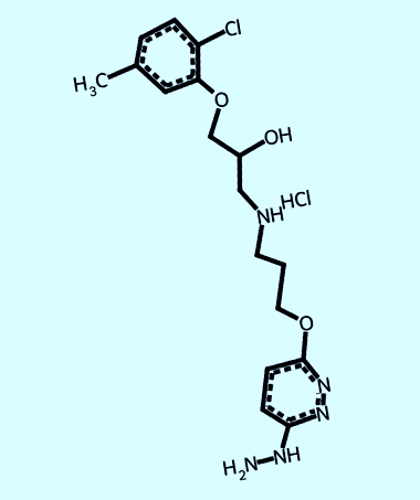 Cc1ccc(Cl)c(OCC(O)CNCCCOc2ccc(NN)nn2)c1.Cl